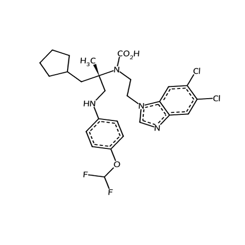 C[C@@](CNc1ccc(OC(F)F)cc1)(CC1CCCC1)N(CCn1cnc2cc(Cl)c(Cl)cc21)C(=O)O